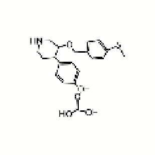 CSc1ccc(COC2CNCCC2c2ccc(O)cc2)cc1.O=C(O)O